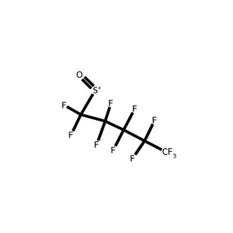 O=[S+]C(F)(F)C(F)(F)C(F)(F)C(F)(F)C(F)(F)F